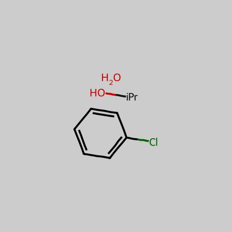 CC(C)O.Clc1ccccc1.O